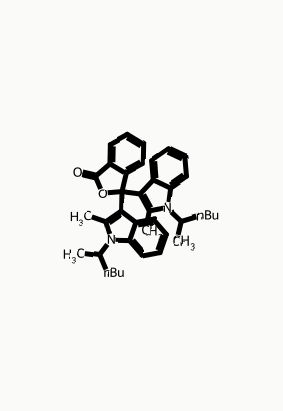 CCCCC(C)n1c(C)c(C2(c3c(C)n(C(C)CCCC)c4ccccc34)OC(=O)c3ccccc32)c2ccccc21